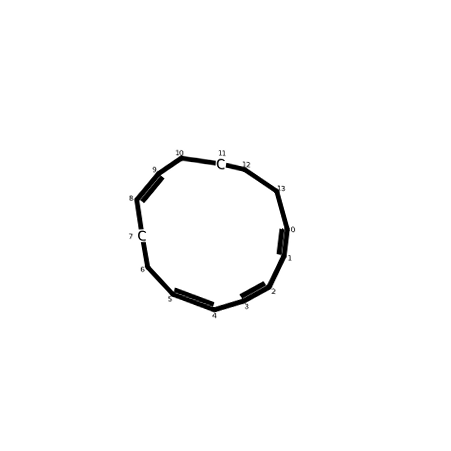 [C]1=CC=CC=CCCC=CCCCC1